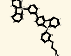 CCCCc1cccc(-n2c3ccccc3c3cc(-c4cccc(-n5c6ccccc6c6ccccc65)c4)ccc32)c1